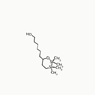 C[Si]1(C)CCC(CCCCCCO)O[Si]1(C)C